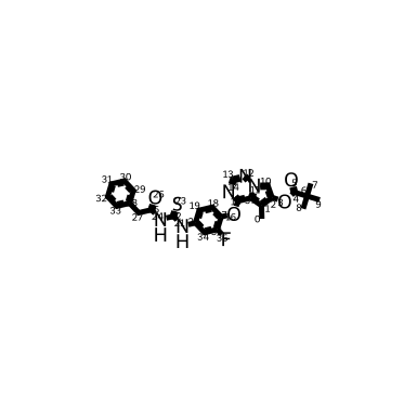 Cc1c(OC(=O)C(C)(C)C)cn2ncnc(Oc3ccc(NC(=S)NC(=O)Cc4ccccc4)cc3F)c12